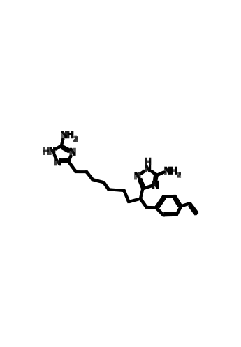 C=Cc1ccc(CC(CCCCCCCc2n[nH]c(N)n2)c2n[nH]c(N)n2)cc1